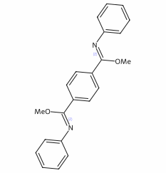 CO/C(=N\c1ccccc1)c1ccc(/C(=N/c2ccccc2)OC)cc1